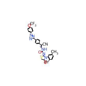 Cc1ccc(C(C)C)c(N2C(=O)CS/C2=N\C(=O)N/C=C(\C#N)c2ccc(-c3ncn(-c4ccc(OC(F)(F)F)cc4)n3)cc2)c1